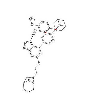 COc1ccc(CN2C3CC2CN(c2ccc(-c4cc(OCCN5CC6CCCC5O6)cn5ncc(C#N)c45)cn2)C3)cc1